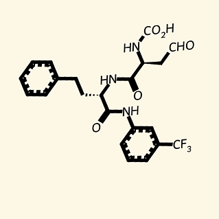 O=CC[C@H](NC(=O)O)C(=O)N[C@@H](CCc1ccccc1)C(=O)Nc1cccc(C(F)(F)F)c1